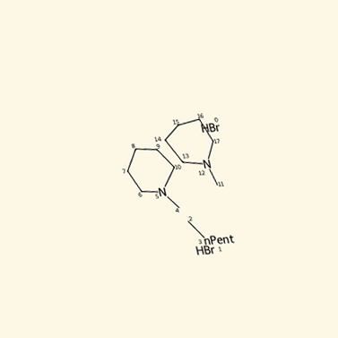 Br.Br.CCCCCC.CN1CCCCC1.CN1CCCCC1